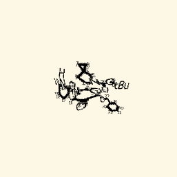 CC(C)(C)OC(=O)N1CC2(CC2)C[C@H]1C(=O)NC(C[C@@H]1CCCNC1=O)C(=O)COCc1ccccc1